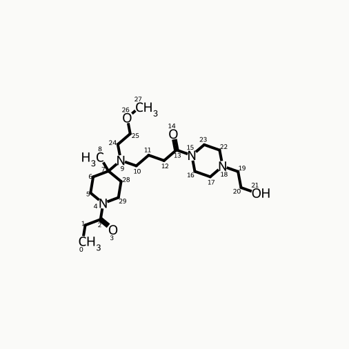 CCC(=O)N1CCC(C)(N(CCCC(=O)N2CCN(CCO)CC2)CCOC)CC1